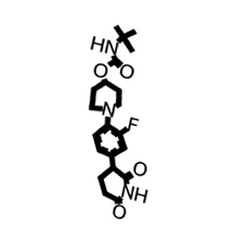 CC(C)(C)NC(=O)OC1CCN(c2ccc(C3CCC(=O)NC3=O)cc2F)CC1